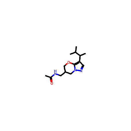 CC(=O)NCC1COc2c(C(C)C(C)C)cnn2C1